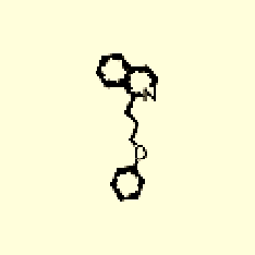 c1ccc(OCCCc2nccc3ccccc23)cc1